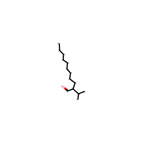 [CH2]C(C)C(C=O)CCCCCCCCC